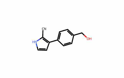 N#Cc1[nH]ccc1-c1ccc(CO)cc1